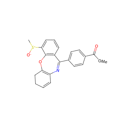 COC(=O)c1ccc(C2=NC3=C(CCC=C3)Oc3c2cccc3[S+](C)[O-])cc1